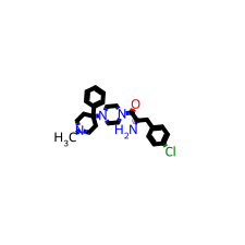 CN1CCC(c2ccccc2)(N2CCN(C(=O)[C@H](N)Cc3ccc(Cl)cc3)CC2)CC1